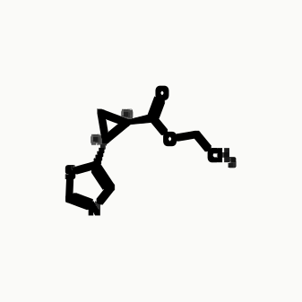 CCOC(=O)[C@@H]1C[C@H]1c1cncs1